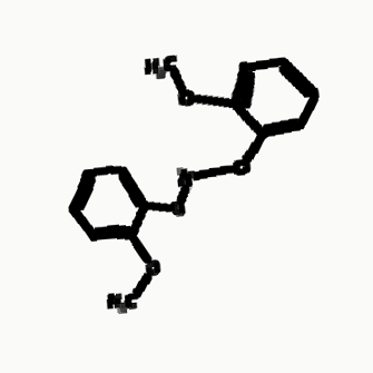 COc1ccccc1[O][Zr][O]c1ccccc1OC